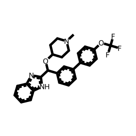 CN1CCC(OC(c2cccc(-c3ccc(OC(F)(F)F)cc3)c2)c2nc3ccccc3[nH]2)CC1